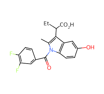 CCC(C(=O)O)c1c(C)n(C(=O)c2ccc(F)c(F)c2)c2ccc(O)cc12